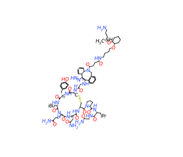 CCC(C)C1NC(=O)[C@H](Cc2ccc(O)cc2)NC(=O)C(NC(=O)CN/C2=C(\N=N)C3C=CC=CC3N(C(=O)CCC(=O)NCCCCOC3CCCCC3O[SiH](C)CCCN)Cc3ccccc32)CSSCC(C(=O)N2CCCC2C(=O)NC(CC(C)C)C(=O)NCC(N)=O)NC(=O)[C@H](CC(N)=O)NC(=O)[C@H](CCC(N)=O)NC1=O